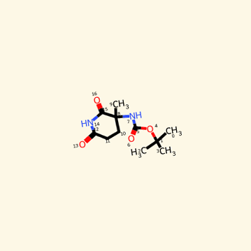 CC(C)(C)OC(=O)NC1(C)CCC(=O)NC1=O